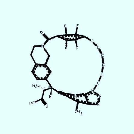 Cc1c2cnc3c1nnn3CCCCCCc1c(F)c(F)c(c(F)c1F)C(=O)N1CCc3ccc(cc3C1)[C@H]2[C@@H](C)C(=O)O